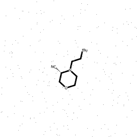 CC(C)(C)CCN1CCOC[C@@H]1C#N